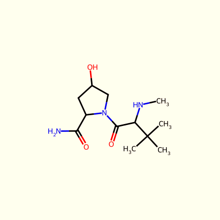 CNC(C(=O)N1CC(O)CC1C(N)=O)C(C)(C)C